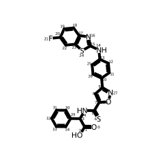 O=C(O)C(NC(=S)c1cc(-c2ccc(Nc3nc4ccc(F)cc4s3)cc2)no1)c1ccccc1